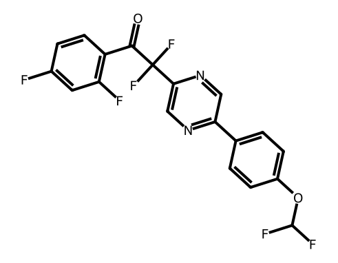 O=C(c1ccc(F)cc1F)C(F)(F)c1cnc(-c2ccc(OC(F)F)cc2)cn1